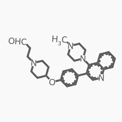 CN1CCN(c2c(-c3ccc(OC4CCN(CCC=O)CC4)cc3)cnc3ccccc23)CC1